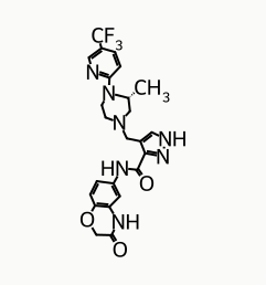 C[C@@H]1CN(Cc2c[nH]nc2C(=O)Nc2ccc3c(c2)NC(=O)CO3)CCN1c1ccc(C(F)(F)F)cn1